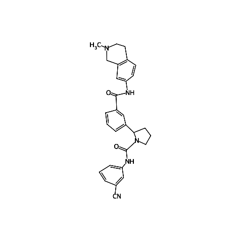 CN1CCc2ccc(NC(=O)c3cccc(C4CCCN4C(=O)Nc4cccc(C#N)c4)c3)cc2C1